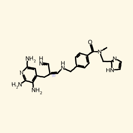 CN(Cc1ncc[nH]1)C(=O)c1ccc(CN/C=C(\C=N)Cc2cc(N)nc(N)c2N)cc1